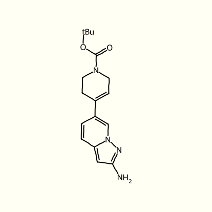 CC(C)(C)OC(=O)N1CC=C(c2ccc3cc(N)nn3c2)CC1